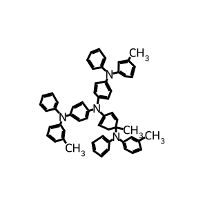 Cc1cccc(N(c2ccccc2)c2ccc(N(C3=CCC(C)(N(c4ccccc4)c4cccc(C)c4)C=C3)c3ccc(N(c4ccccc4)c4cccc(C)c4)cc3)cc2)c1